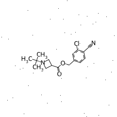 CC(C)(C)N1CC(C(=O)OCc2ccc(C#N)c(Cl)c2)C1